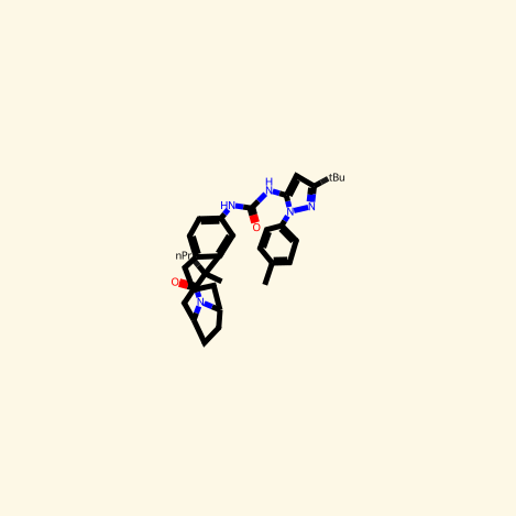 CCCC(C)(C)C(=O)N1C2CCC1CC(Cc1ccc(NC(=O)Nc3cc(C(C)(C)C)nn3-c3ccc(C)cc3)cc1)C2